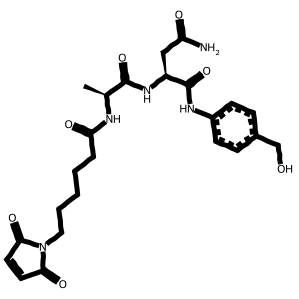 C[C@H](NC(=O)CCCCCN1C(=O)C=CC1=O)C(=O)N[C@@H](CC(N)=O)C(=O)Nc1ccc(CO)cc1